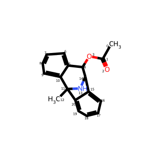 CC(=O)OC1c2ccccc2C2(C)NC1c1ccccc12